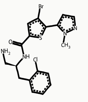 Cn1nccc1-c1sc(C(=O)N[C@H](CN)Cc2ccccc2Cl)cc1Br